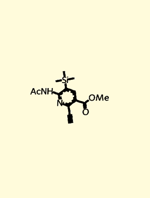 C#Cc1nc(NC(C)=O)c([Si](C)(C)C)cc1C(=O)OC